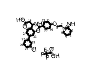 N=c1ccccn1CCOc1ccc(C(=O)NC(CC(=O)O)c2ccc(-c3cccc(Cl)c3)cc2)cc1.O=C(O)C(F)(F)F